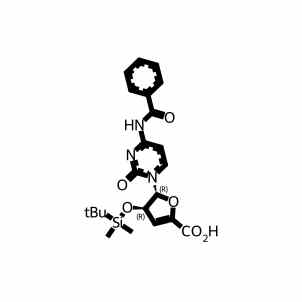 CC(C)(C)[Si](C)(C)O[C@@H]1C=C(C(=O)O)O[C@H]1n1ccc(NC(=O)c2ccccc2)nc1=O